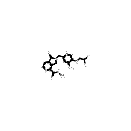 Cc1cc(CN2Cc3c(ccnc3C(=O)OP)C2=O)ncc1OCC(F)F